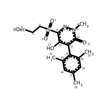 CCCCCCCCCCCCS(=O)(=O)c1nn(C)c(=O)c(-c2c(C)cc(C)cc2C)c1O